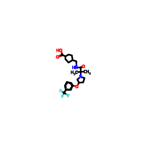 CC(C)(C(=O)NCC1CCC(C(=O)O)CC1)N1CCC(Oc2cccc(C(F)(F)F)c2)C1